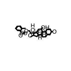 CC1C[C@H]2[C@@H]3CCC4=CC(=O)C=C[C@]4(C)[C@@]3(F)C(O)C[C@]2(C)[C@@]1(O)C(=O)COCc1ccccc1[N+](=O)[O-]